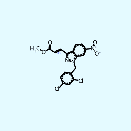 COC(=O)/C=C/c1nn(Cc2ccc(Cl)cc2Cl)c2cc([N+](=O)[O-])ccc12